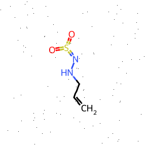 C=CCNN=S(=O)=O